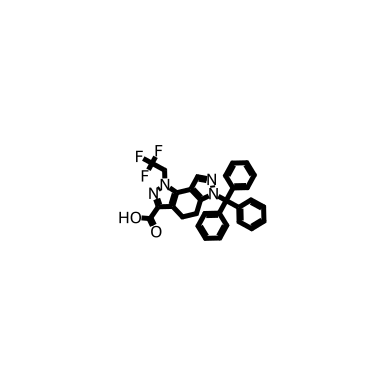 O=C(O)c1nn(CC(F)(F)F)c2c1CCc1c-2cnn1C(c1ccccc1)(c1ccccc1)c1ccccc1